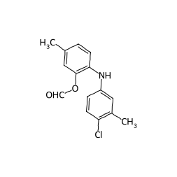 Cc1ccc(Nc2ccc(Cl)c(C)c2)c(OC=O)c1